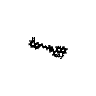 CC1(CCCCc2ccc3c(n2)NCCC3)CN(C(CC(=O)O)c2cnc3ccccc3c2)C1